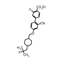 CCOC(=O)c1ccc(-c2ccc(OCC3CCN(CC(C)(C)F)CC3)cc2C#N)cc1F